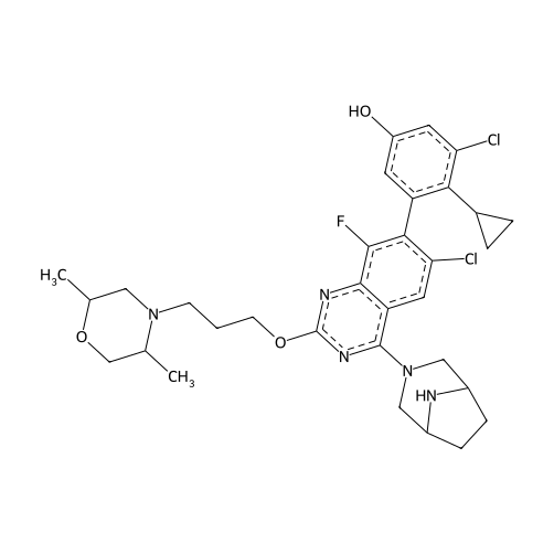 CC1CN(CCCOc2nc(N3CC4CCC(C3)N4)c3cc(Cl)c(-c4cc(O)cc(Cl)c4C4CC4)c(F)c3n2)C(C)CO1